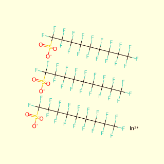 O=S(=O)([O-])C(F)(F)C(F)(F)C(F)(F)C(F)(F)C(F)(F)C(F)(F)C(F)(F)C(F)(F)C(F)(F)F.O=S(=O)([O-])C(F)(F)C(F)(F)C(F)(F)C(F)(F)C(F)(F)C(F)(F)C(F)(F)C(F)(F)C(F)(F)F.O=S(=O)([O-])C(F)(F)C(F)(F)C(F)(F)C(F)(F)C(F)(F)C(F)(F)C(F)(F)C(F)(F)C(F)(F)F.[In+3]